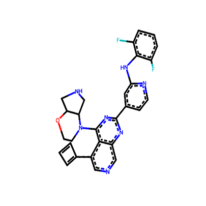 Fc1cccc(F)c1Nc1cc(-c2nc(N3CCOC4CNCC43)c3c(C4=CC=C4)cncc3n2)ccn1